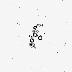 CS(=O)(=O)N1CCN(C(=O)[C@H]2C[C@@H](C3CCCCC3)CN(S(=O)(=O)c3ccc(CO)s3)C2)CC1